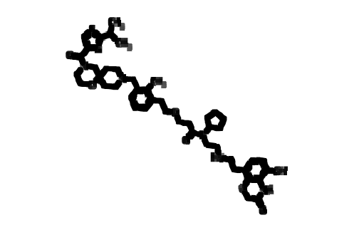 Cc1c(CCOCCC(=O)N(CCNCCc2ccc(O)c3c2OCC(=O)N3)C2CCCC2)cccc1CN1CCC2(CC1)CN(C(=O)c1csc(C(C)C)n1)CCO2